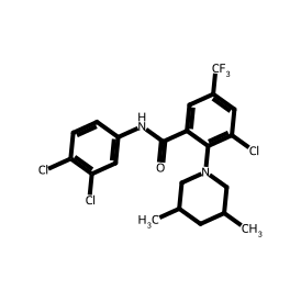 CC1CC(C)CN(c2c(Cl)cc(C(F)(F)F)cc2C(=O)Nc2ccc(Cl)c(Cl)c2)C1